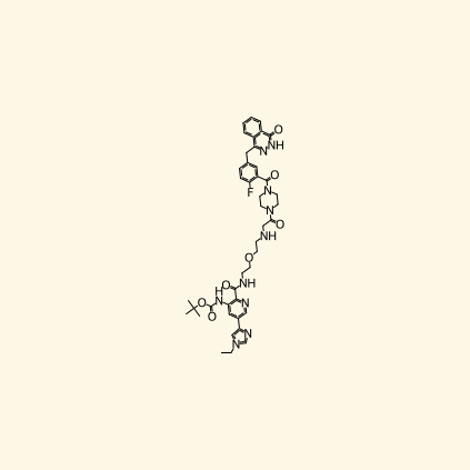 CCn1cnc(-c2cnc(C(=O)NCCOCCNCC(=O)N3CCN(C(=O)c4cc(Cc5n[nH]c(=O)c6ccccc56)ccc4F)CC3)c(NC(=O)OC(C)(C)C)c2)c1